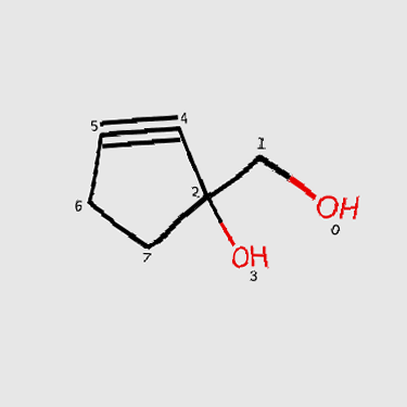 OCC1(O)C#CCC1